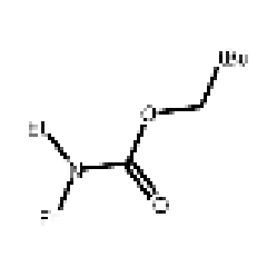 CCN(CC)C(=O)OCC(C)(C)C